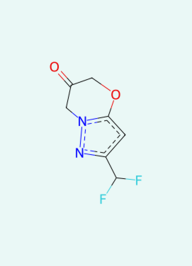 O=C1COc2cc(C(F)F)nn2C1